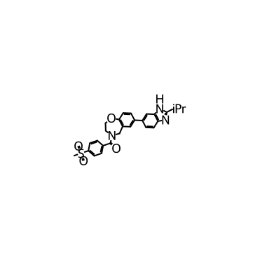 CC(C)c1nc2ccc(-c3ccc4c(c3)CN(C(=O)c3ccc(S(C)(=O)=O)cc3)CCO4)cc2[nH]1